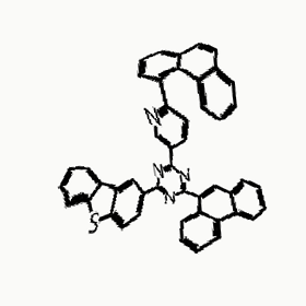 c1ccc2c(c1)cc(-c1nc(-c3ccc(-c4cccc5ccc6ccccc6c45)nc3)nc(-c3ccc4sc5ccccc5c4c3)n1)c1ccccc12